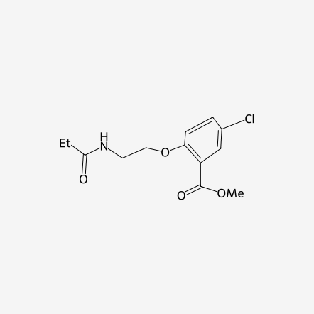 CCC(=O)NCCOc1ccc(Cl)cc1C(=O)OC